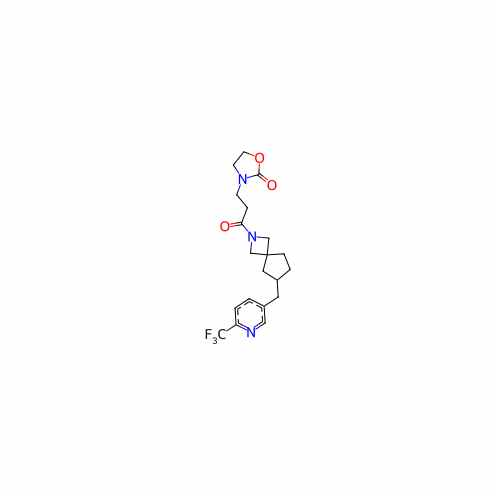 O=C(CCN1CCOC1=O)N1CC2(CCC(Cc3ccc(C(F)(F)F)nc3)C2)C1